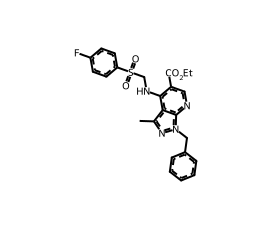 CCOC(=O)c1cnc2c(c(C)nn2Cc2ccccc2)c1NCS(=O)(=O)c1ccc(F)cc1